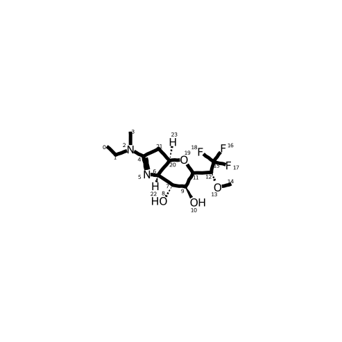 CCN(C)C1=N[C@@H]2[C@@H](O)[C@H](O)C([C@@H](OC)C(F)(F)F)O[C@@H]2C1